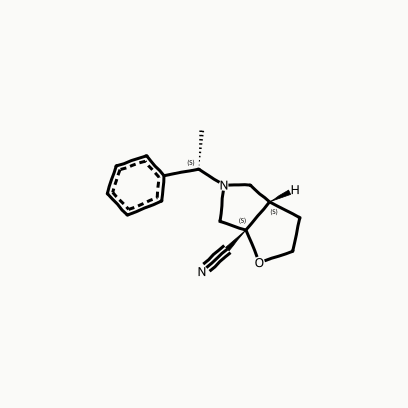 C[C@@H](c1ccccc1)N1C[C@@H]2CCO[C@]2(C#N)C1